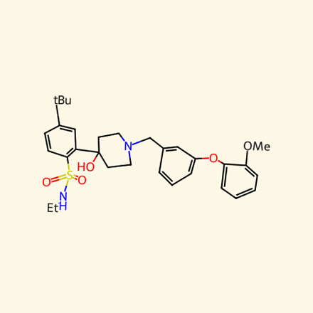 CCNS(=O)(=O)c1ccc(C(C)(C)C)cc1C1(O)CCN(Cc2cccc(Oc3ccccc3OC)c2)CC1